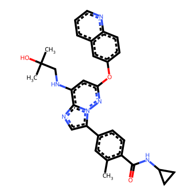 Cc1cc(-c2cnc3c(NCC(C)(C)O)cc(Oc4ccc5ncccc5c4)nn23)ccc1C(=O)NC1CC1